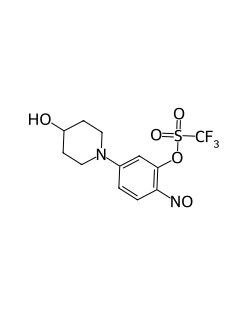 O=Nc1ccc(N2CCC(O)CC2)cc1OS(=O)(=O)C(F)(F)F